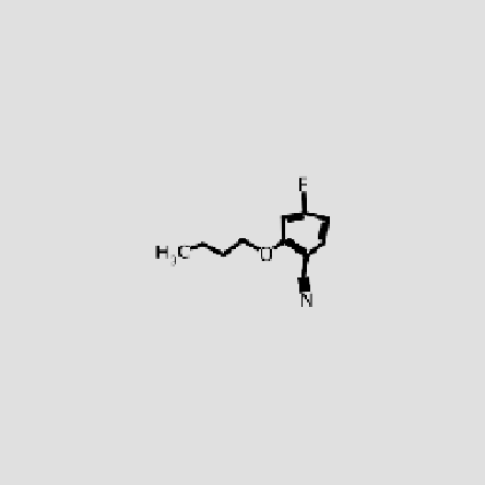 CCCCOc1cc(F)ccc1C#N